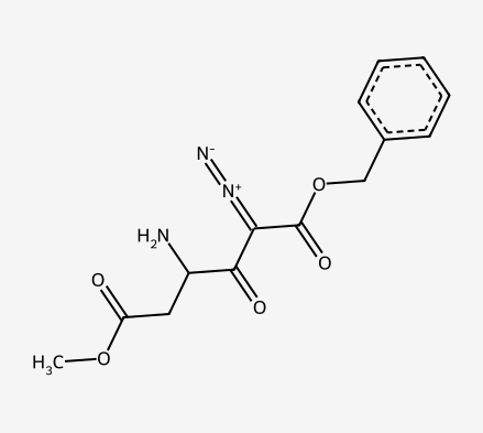 COC(=O)CC(N)C(=O)C(=[N+]=[N-])C(=O)OCc1ccccc1